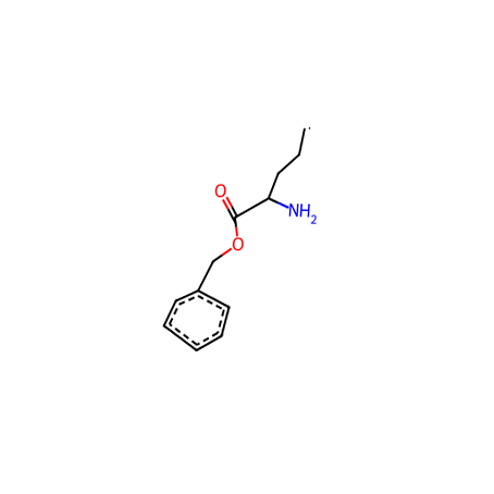 [CH2]CCC(N)C(=O)OCc1ccccc1